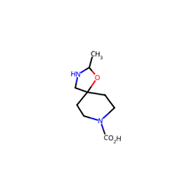 CC1NCC2(CCN(C(=O)O)CC2)O1